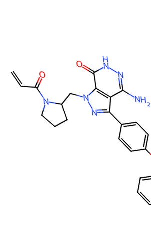 C=CC(=O)N1CCCC1Cn1nc(-c2ccc(Oc3ccccc3)cc2)c2c(N)n[nH]c(=O)c21